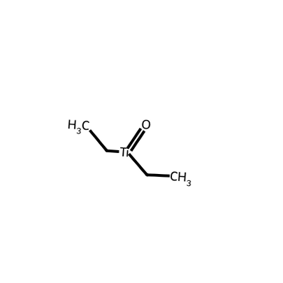 C[CH2][Ti](=[O])[CH2]C